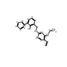 C=Cc1cnc(OCc2cccc(-c3ccccc3)c2C)nc1OCC(F)(F)F